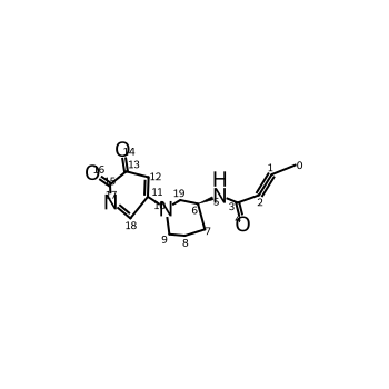 CC#CC(=O)N[C@H]1CCCN(C2=CC(=O)C(=O)N=C2)C1